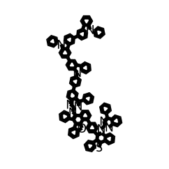 c1ccc(-c2nc(-n3c4ccccc4c4c5c6ccccc6oc5c5c(-c6ccc7c8c9c%10ccccc%10sc9c9ccccc9c8n(-c8nc(-c9ccccc9)c9ccccc9n8)c7c6)cccc5c43)nc3ccc(-c4ccc(-n5c6ccccc6c6cc(-c7ccc8c(c7)c7cc(-c9ccc%10c(c9)c9ccccc9n%10-c9ccccc9)ccc7n8-c7ccccc7)ccc65)cc4)cc23)cc1